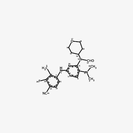 Cc1c(Nc2ncc(N(C)C)c(N(C=O)C3CCOCC3)n2)ccc(C#N)c1F